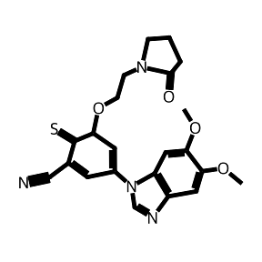 COc1cc2ncn(C3=CC(OCCN4CCCC4=O)C(=S)C(C#N)=C3)c2cc1OC